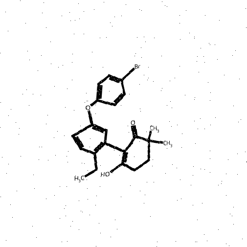 CCc1ccc(Oc2ccc(Br)cc2)cc1C1=C(O)CCC(C)(C)C1=O